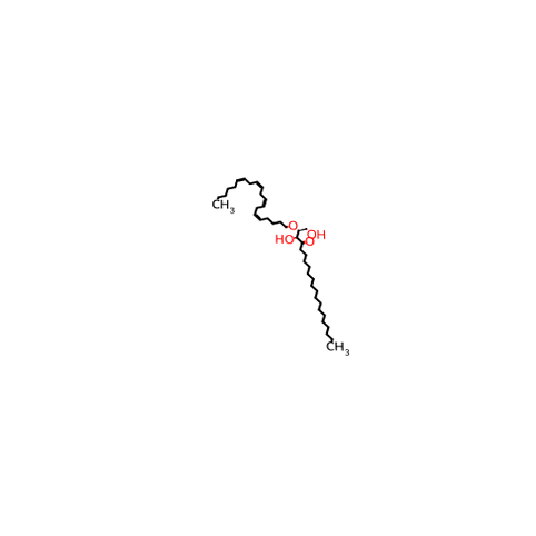 CCCCC/C=C\C/C=C\C/C=C\C/C=C\CCCCO[C@@H](CO)C(O)C(=O)CCCCCCCCCCCCCCCCC